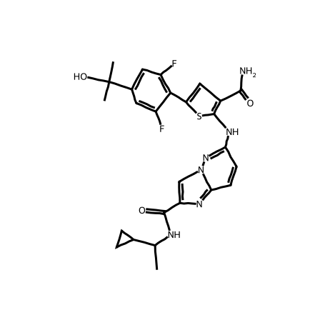 CC(NC(=O)c1cn2nc(Nc3sc(-c4c(F)cc(C(C)(C)O)cc4F)cc3C(N)=O)ccc2n1)C1CC1